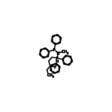 CCC(F)CC[PH](c1ccccc1)(c1ccccc1)N(C)P(c1ccccc1)c1ccccc1